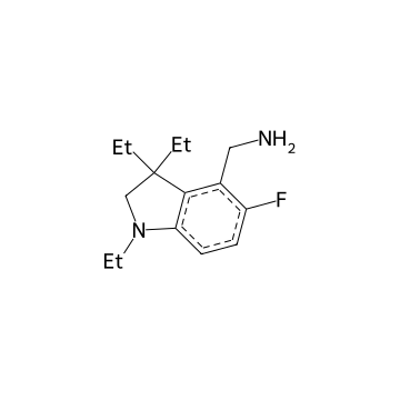 CCN1CC(CC)(CC)c2c1ccc(F)c2CN